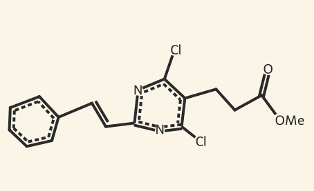 COC(=O)CCc1c(Cl)nc(C=Cc2ccccc2)nc1Cl